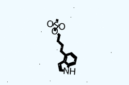 CS(=O)(=O)OCCCCc1cccc2[nH]ccc12